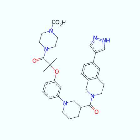 CC(C)(Oc1cccc(N2CCCC(C(=O)N3CCc4cc(-c5cn[nH]c5)ccc4C3)C2)c1)C(=O)N1CCN(C(=O)O)CC1